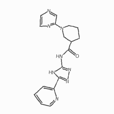 O=C(Nc1nnc(-c2ccccn2)[nH]1)C1CCCN(c2cnccn2)C1